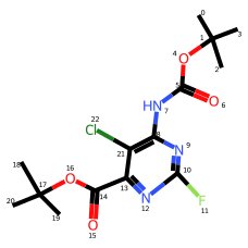 CC(C)(C)OC(=O)Nc1nc(F)nc(C(=O)OC(C)(C)C)c1Cl